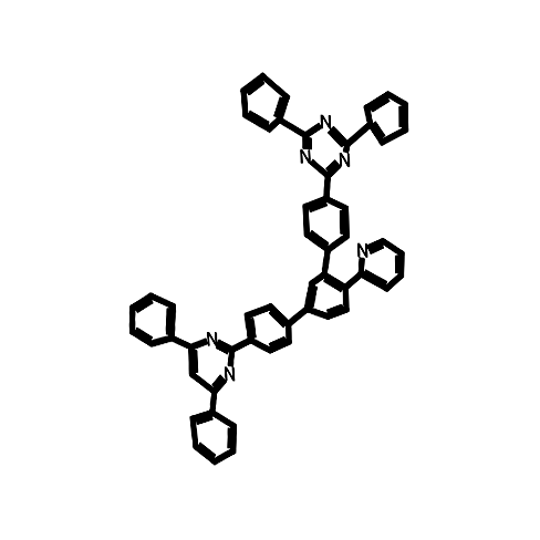 c1ccc(-c2cc(-c3ccccc3)nc(-c3ccc(-c4ccc(-c5ccccn5)c(-c5ccc(-c6nc(-c7ccccc7)nc(-c7ccccc7)n6)cc5)c4)cc3)n2)cc1